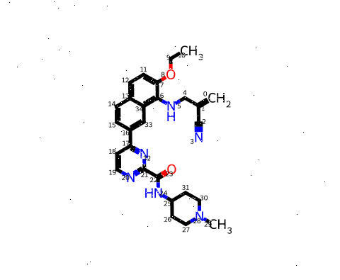 C=C(C#N)CNc1c(OCC)ccc2ccc(-c3ccnc(C(=O)NC4CCN(C)CC4)n3)cc12